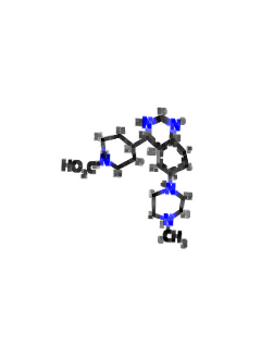 CN1CCN(c2ccc3ncnc(C4CCN(C(=O)O)CC4)c3c2)CC1